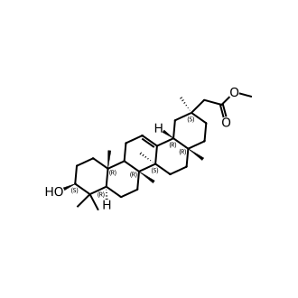 COC(=O)C[C@@]1(C)CC[C@]2(C)CC[C@]3(C)C(=CCC4[C@@]5(C)CC[C@H](O)C(C)(C)[C@@H]5CC[C@]43C)[C@@H]2C1